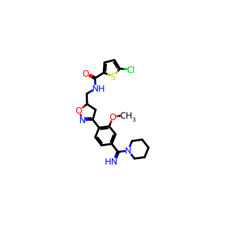 COc1cc(C(=N)N2CCCCC2)ccc1C1=NOC(CNC(=O)c2ccc(Cl)s2)C1